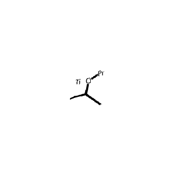 CC(C)[O][Pr].[Ti]